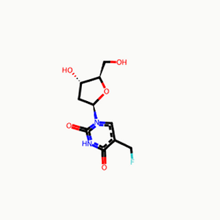 O=c1[nH]c(=O)n([C@H]2C[C@H](O)[C@@H](CO)O2)cc1CF